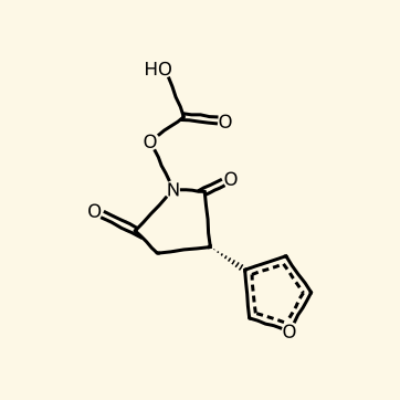 O=C(O)ON1C(=O)C[C@@H](c2ccoc2)C1=O